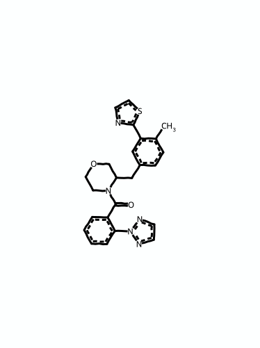 Cc1ccc(CC2COCCN2C(=O)c2ccccc2-n2nccn2)cc1-c1nccs1